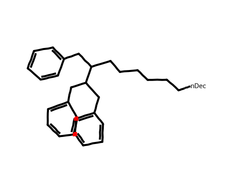 CCCCCCCCCCCCCCCCC(Cc1ccccc1)[C](Cc1ccccc1)Cc1ccccc1